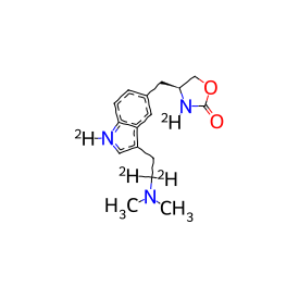 [2H]N1C(=O)OC[C@@H]1Cc1ccc2c(c1)c(CC([2H])([2H])N(C)C)cn2[2H]